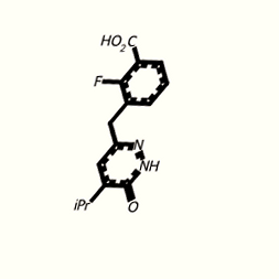 CC(C)c1cc(Cc2cccc(C(=O)O)c2F)n[nH]c1=O